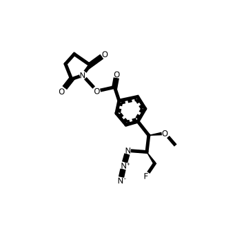 CO[C@H](c1ccc(C(=O)ON2C(=O)CCC2=O)cc1)[C@@H](CF)N=[N+]=[N-]